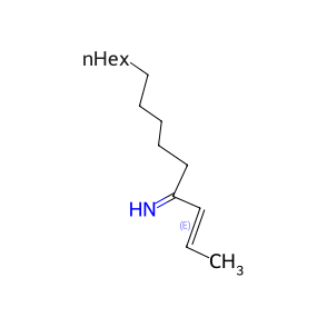 C/C=C/C(=N)CCCCCCCCCCC